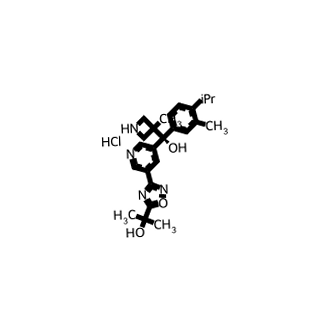 Cc1cc([C@](O)(c2cncc(-c3noc(C(C)(C)O)n3)c2)C2(C)CNC2)ccc1C(C)C.Cl